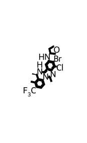 Cc1nc(N[C@H](C)c2cccc(C(F)(F)F)c2C)c2cc(N[C@H]3CCOC3)c(Br)c(Cl)c2n1